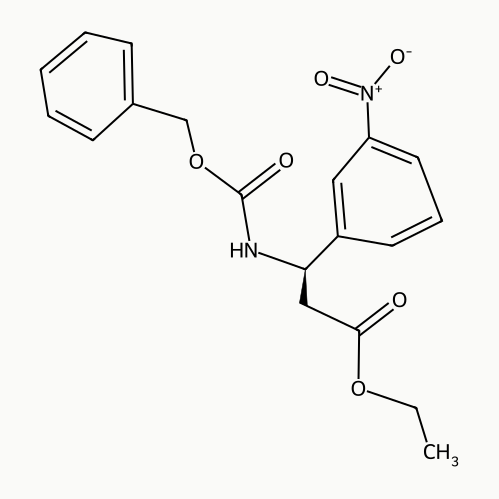 CCOC(=O)C[C@@H](NC(=O)OCc1ccccc1)c1cccc([N+](=O)[O-])c1